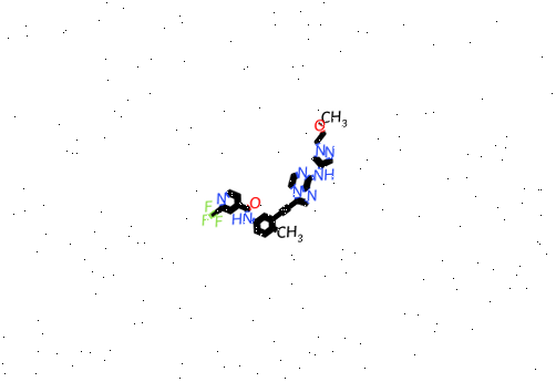 COCCn1cc(Nc2nccn3c(C#Cc4cc(NC(=O)c5ccnc(C(F)(F)F)c5)ccc4C)cnc23)cn1